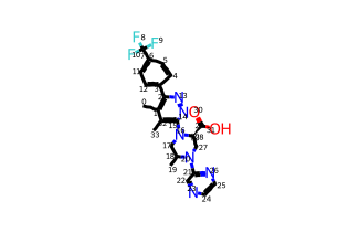 Cc1c(-c2ccc(C(F)(F)F)cc2)nnc(N2CC(C)N(c3cnccn3)C[C@@H]2C(=O)O)c1C